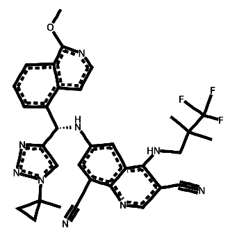 COc1nccc2c([C@H](Nc3cc(C#N)c4ncc(C#N)c(NCC(C)(C)C(F)(F)F)c4c3)c3cn(C4(C)CC4)nn3)cccc12